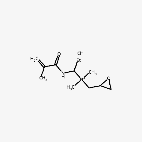 C=C(C)C(=O)NC(CC)[N+](C)(C)CC1CO1.[Cl-]